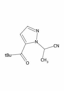 CC(C#N)n1nccc1C(=O)C(C)(C)C